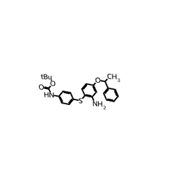 CC(Oc1ccc(Sc2ccc(NC(=O)OC(C)(C)C)cc2)c(N)c1)c1ccccc1